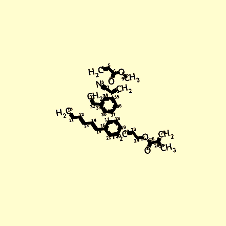 C=CC#N.C=CC(=O)OC.C=CC=CC=Cc1ccccc1.C=CCOC(=O)C(=C)C.C=Cc1ccccc1